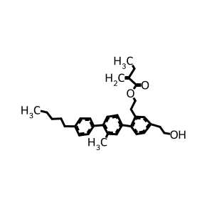 C=C(CC)C(=O)OCCc1cc(CCO)ccc1-c1ccc(-c2ccc(CCCCC)cc2)c(C)c1